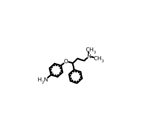 CN(C)CCC(Oc1ccc(N)cc1)c1ccccc1